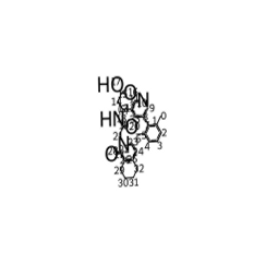 Cc1cccc(C)c1-c1cncc([C@H](CC(=O)O)NC(=O)Cn2ccc3c(c2=O)CCCC3)c1